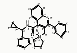 O=C(NC(c1ccccc1)C1CC1)c1c(C[N+]2([O-])CCCC2)c(-c2ccccc2)nc2ccccc12